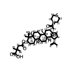 C=C(C)[C@@H]1CC[C@]2(CC(=O)N3CCSCC3)CC[C@]3(C)[C@H](CC[C@@H]4[C@@]5(C)CC[C@H](OC(=O)CC(C)(C)C(=O)O)C(C)(C)[C@@H]5CC[C@]43C)[C@@H]12